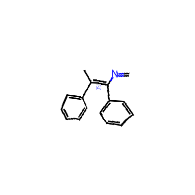 C=N/C(=C(\C)c1ccccc1)c1ccccc1